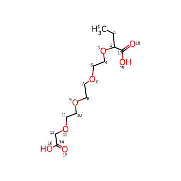 CCC(OCCOCCOCCOCC(=O)O)C(=O)O